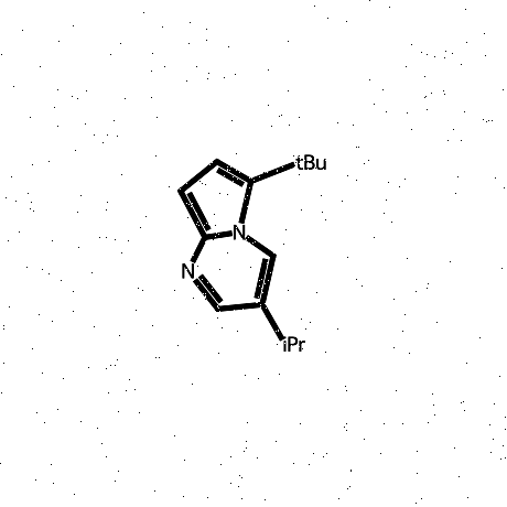 CC(C)c1cnc2ccc(C(C)(C)C)n2c1